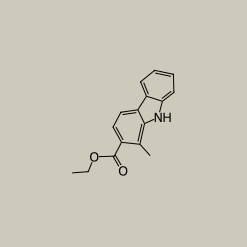 CCOC(=O)c1ccc2c([nH]c3ccccc32)c1C